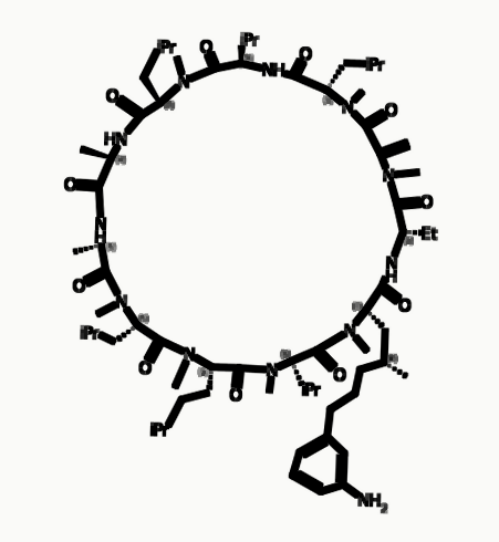 C=C1C(=O)N(C)[C@@H](CC(C)C)C(=O)N[C@H](C(C)C)C(=O)N(C)[C@H](CC(C)C)C(=O)N[C@H](C)C(=O)N[C@@H](C)C(=O)N(C)[C@@H](CC(C)C)C(=O)N(C)[C@@H](CCC(C)C)C(=O)N(C)[C@@H](C(C)C)C(=O)N(C)[C@@H](C[C@H](C)CCCc2cccc(N)c2)C(=O)N[C@@H](CC)C(=O)N1C